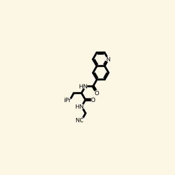 CC(C)CC(NC(=O)c1ccc2ncccc2c1)C(=O)NCC#N